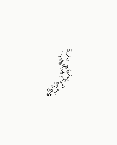 O=C(NC1CCS(O)(O)C1)c1ccc2cnc(NC3CCC(O)CC3)nc2c1